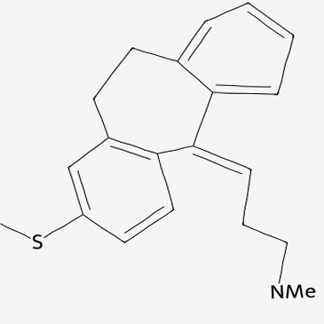 CNCC/C=C1/c2ccccc2CCc2cc(SF)ccc21